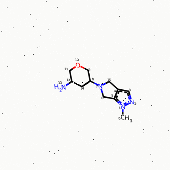 Cn1ncc2c1CN(C1COCC(N)C1)C2